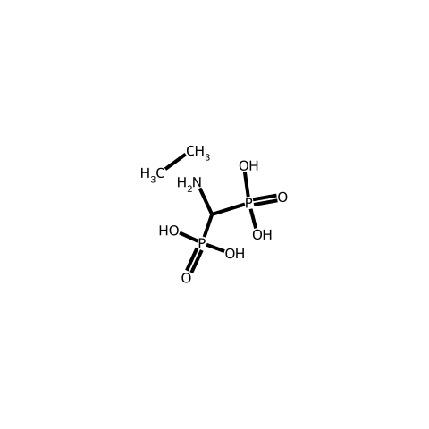 CC.NC(P(=O)(O)O)P(=O)(O)O